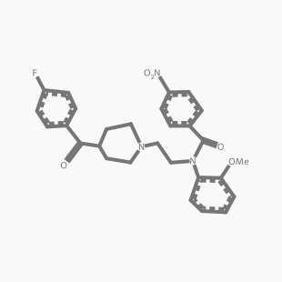 COc1ccccc1N(CCN1CCC(C(=O)c2ccc(F)cc2)CC1)C(=O)c1ccc([N+](=O)[O-])cc1